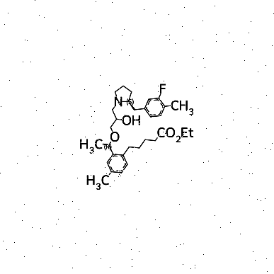 CCOC(=O)CCCCc1ccc(C)cc1[C@@H](C)OCC(O)CN1CCC[C@H]1Cc1ccc(C)c(F)c1